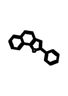 c1ccc(-c2cc3ccc4ccccc4c3o2)cc1